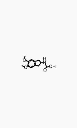 COc1cc2c(cc1OC)CC(NC(=O)O)C2